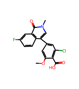 COc1cc(-c2cn(C)c(=O)c3cc(F)ccc23)cc(Cl)c1C(=O)O